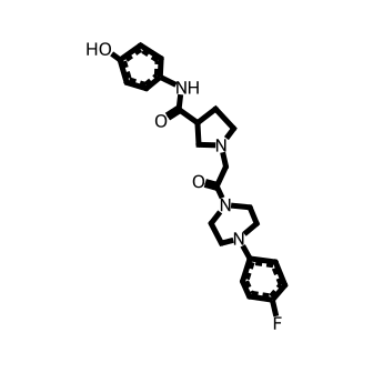 O=C(Nc1ccc(O)cc1)C1CCN(CC(=O)N2CCN(c3ccc(F)cc3)CC2)C1